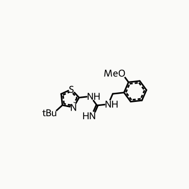 COc1ccccc1CNC(=N)Nc1nc(C(C)(C)C)cs1